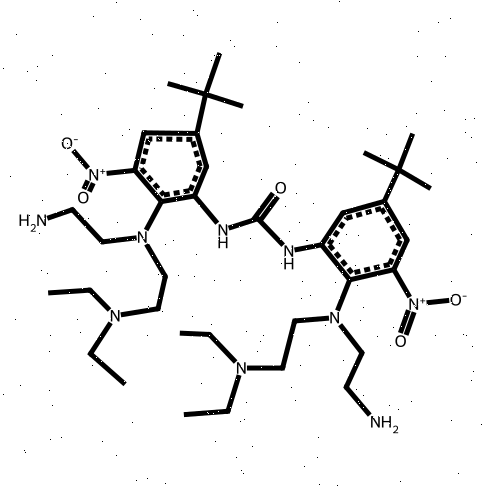 CCN(CC)CCN(CCN)c1c(NC(=O)Nc2cc(C(C)(C)C)cc([N+](=O)[O-])c2N(CCN)CCN(CC)CC)cc(C(C)(C)C)cc1[N+](=O)[O-]